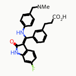 CNCc1ccc(N/C(=C2\C(=O)Nc3cc(F)ccc32)c2cccc(CCC(=O)O)c2)cc1